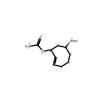 CCC[C@H](C)C1CCC/C=C/C(OC(N)=O)C1